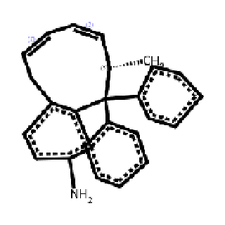 C[C@H]1/C=C\C=C/Cc2ccc(N)cc2C1(c1ccccc1)c1ccccc1